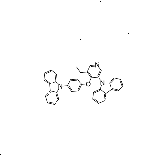 CCc1cncc(-n2c3ccccc3c3ccccc32)c1Oc1ccc(-n2c3ccccc3c3ccccc32)cc1